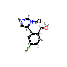 Cn1cncc1-c1cc(F)ccc1C=O